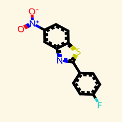 O=[N+]([O-])c1ccc2sc(-c3ccc(F)cc3)nc2c1